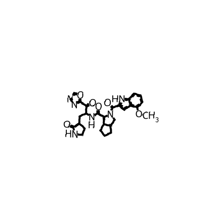 COc1cccc2[nH]c(C(=O)N3CC4CCCC4C3C(=O)NC(CC3CCNC3=O)C(=O)c3nnco3)cc12